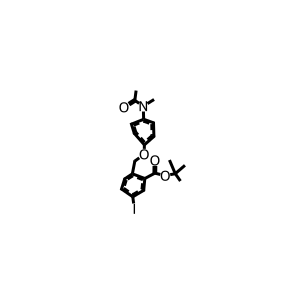 CC(=O)N(C)c1ccc(OCc2ccc(I)cc2C(=O)OC(C)(C)C)cc1